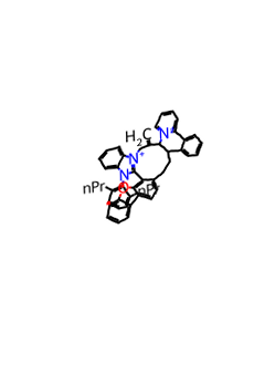 C=C1C[n+]2c(n(-c3c(CCC)cccc3CCC)c3ccccc32)-c2c(ccc3c2oc2ccccc23)CCC2c3ccccc3-c3cccc[n+]3C12